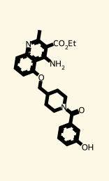 CCOC(=O)c1c(C)nc2cccc(OCC3CCN(C(=O)c4cccc(O)c4)CC3)c2c1N